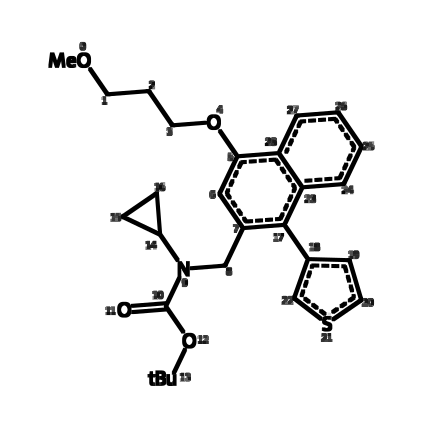 COCCCOc1cc(CN(C(=O)OC(C)(C)C)C2CC2)c(-c2ccsc2)c2ccccc12